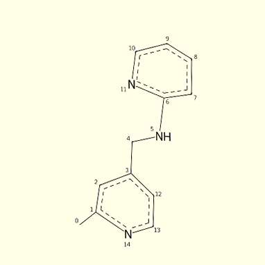 Cc1cc(CNc2ccccn2)ccn1